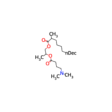 CCCCCCCCCCCCCCC(C)C(=O)OCC(C)OC(=O)CCCN(C)C